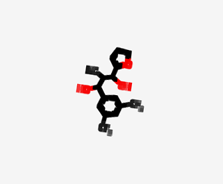 N#CC(C(O)c1cc(C(F)(F)F)cc(C(F)(F)F)c1)C(O)c1ccco1